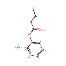 CCOC(=O)Oc1cncnc1N